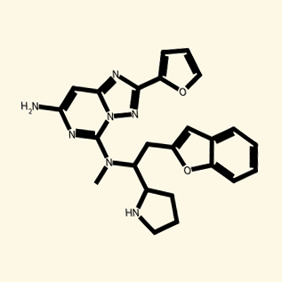 CN(c1nc(N)cc2nc(-c3ccco3)nn12)C(Cc1cc2ccccc2o1)C1CCCN1